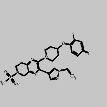 CCn1cc(-c2nc3c(nc2N2CCC(Oc4ccc(F)cc4F)CC2)CCN(S(C)(=N)=O)C3)cn1